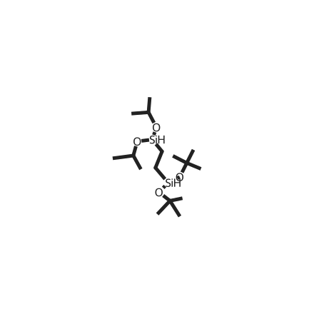 CC(C)O[SiH](CC[SiH](OC(C)(C)C)OC(C)(C)C)OC(C)C